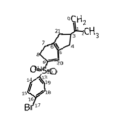 C=C(C)C1CC2=C(CCC(S(=O)(=O)c3ccc(Br)cc3)=C2)C1